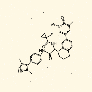 Cc1n[nH]c(C)c1-c1ccc(NC(=O)[C@@H](NC(=O)C2(F)CC2)[C@@H]2CCCc3ccc(-c4cc(C)c(=O)n(C(C)C)c4)cc32)cc1